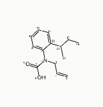 C=CCN(C(=O)O)c1ccccc1C(C)CC